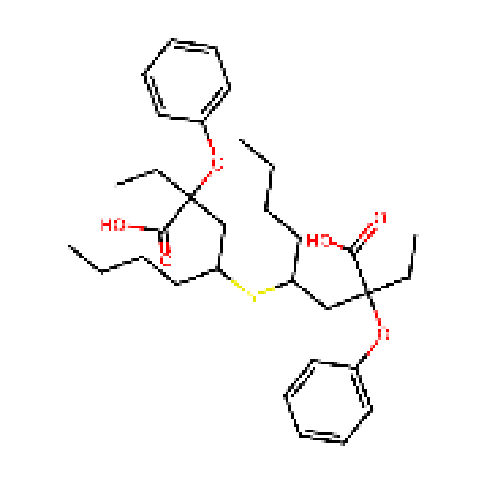 CCCCC(CC(CC)(Oc1ccccc1)C(=O)O)SC(CCCC)CC(CC)(Oc1ccccc1)C(=O)O